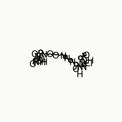 COc1cc(N2CCC(N3CCN(CCCOCCOCCNc4cccc5c4C(=O)N(C4CCC(=O)NC4=O)C5=O)CC3)CC2)ccc1Nc1ncc(Cl)c(Nc2ccccc2P(C)(C)=O)n1